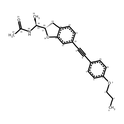 CCCOc1ccc(C#Cc2ccc3c(c2)O[C@H]([C@H](C)NC(C)=O)C3)cc1